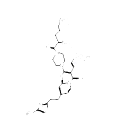 CC(C)c1csc(CCc2ccn3c(=O)c(/C=C/C(=O)O)c(N4CCN(C(=O)C(N)CCCN)CC4)nc3c2)n1